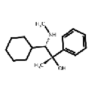 CN[C@@H](C1CCCCC1)[C@@](C)(O)c1ccccc1